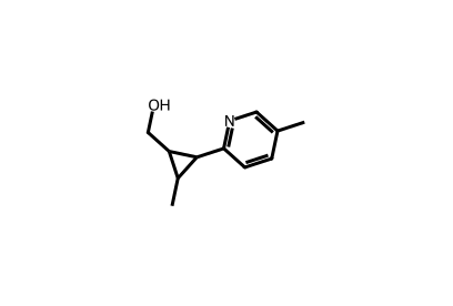 Cc1ccc(C2C(C)C2CO)nc1